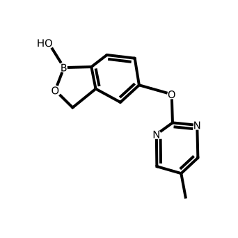 Cc1cnc(Oc2ccc3c(c2)COB3O)nc1